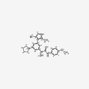 COc1ccc(NC(=O)N(S)c2cc(-c3c(Br)cnn3C)cc(N3CCCC3)c2)cc1